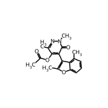 CC(=O)Oc1c(C)nn(C)c(=O)c1-c1c(C)oc2cccc(C)c12